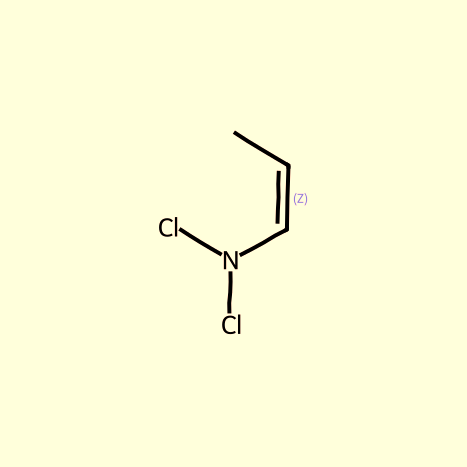 C/C=C\N(Cl)Cl